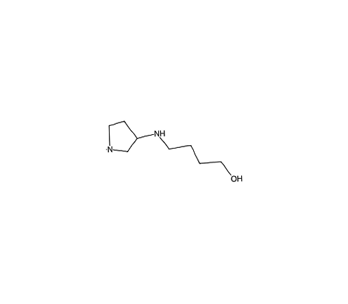 OCCCCNC1CC[N]C1